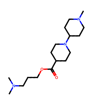 CN(C)CCCOC(=O)C1CCN(C2CCN(C)CC2)CC1